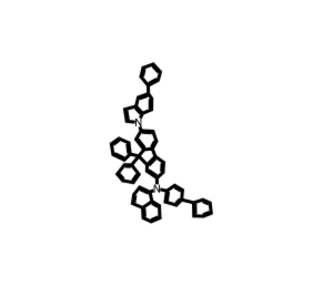 c1ccc(-c2ccc(N(c3ccc4c(c3)C(c3ccccc3)(c3ccccc3)c3cc(-n5ccc6cc(-c7ccccc7)ccc65)ccc3-4)c3cccc4ccccc34)cc2)cc1